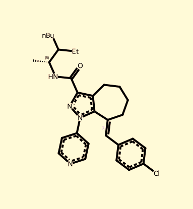 CCCCC(CC)[C@@H](C)NC(=O)c1nn(-c2ccncc2)c2c1CCCC/C2=C\c1ccc(Cl)cc1